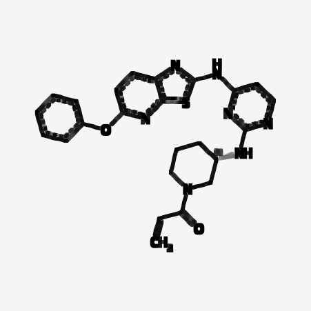 C=CC(=O)N1CCC[C@H](Nc2nccc(Nc3nc4ccc(Oc5ccccc5)nc4s3)n2)C1